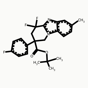 Cc1ccc2c(c1)nc1n2CC(C(=O)OC(C)(C)C)(c2ccc(F)cc2)CC1(F)F